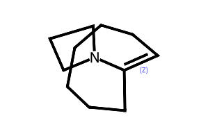 C1=C(\N2CCC2)CCCCCC/1